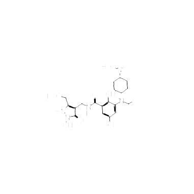 CCc1[nH]n(C)c(=O)c1CNC(=O)c1cc(Cl)cc(N(CC)[C@H]2CC[C@H](N(C)C)CC2)c1C